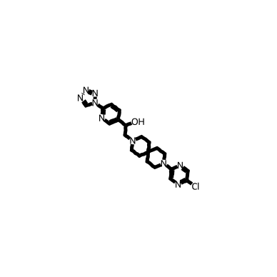 OC(CN1CCC2(CC1)CCN(c1cnc(Cl)cn1)CC2)c1ccc(-n2cnnn2)nc1